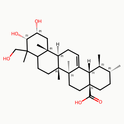 C[C@H]1[C@H](C)CC[C@]2(C(=O)O)CC[C@]3(C)C(=CC[C@@H]4[C@@]5(C)C[C@@H](O)[C@@H](O)C(C)(CO)C5CC[C@]43C)[C@H]12